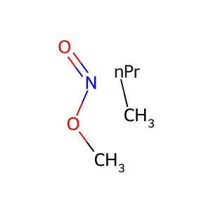 CCCC.CON=O